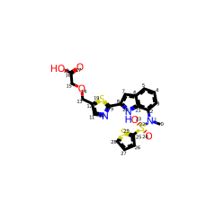 CN(c1cccc2cc(-c3ncc(COCC(=O)O)s3)[nH]c12)S(=O)(=O)c1cccs1